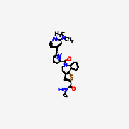 CN(C)c1cc(-c2cccc(C(=O)N3CCc4cc(C(=O)NC5CC5)sc4-c4ccccc43)n2)ccn1